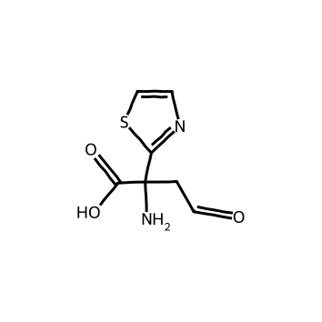 NC(CC=O)(C(=O)O)c1nccs1